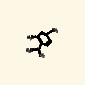 [CH2]c1cc(C)ccc1N(C)C